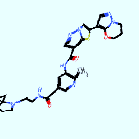 Cc1ncc(C(=O)NCCN2CCCC23CC3)cc1NC(=O)c1cnn2cc(-c3cnn4c3OCCC4)sc12